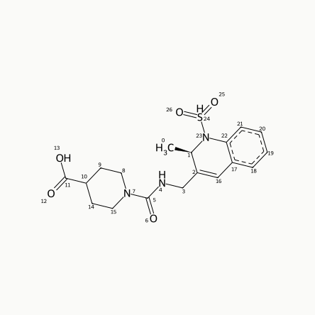 C[C@@H]1C(CNC(=O)N2CCC(C(=O)O)CC2)=Cc2ccccc2N1[SH](=O)=O